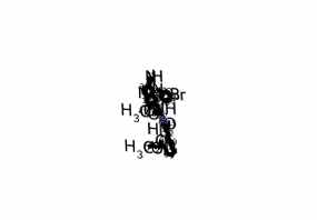 CCOC(=O)C1CCCN1CCCNC(=O)/C=C/C(=O)Nc1cc2c(Nc3cccc(Br)c3)c(C#N)cnc2cc1OC